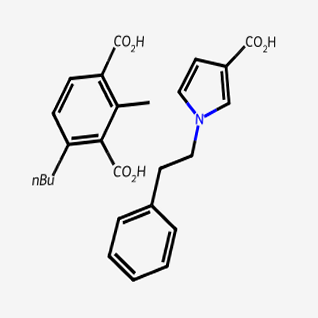 CCCCc1ccc(C(=O)O)c(C)c1C(=O)O.O=C(O)c1ccn(CCc2ccccc2)c1